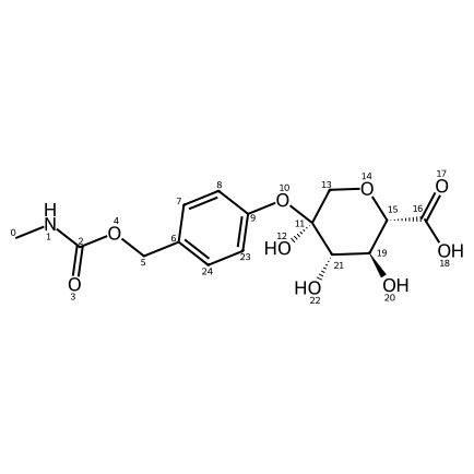 CNC(=O)OCc1ccc(O[C@@]2(O)CO[C@H](C(=O)O)[C@@H](O)[C@@H]2O)cc1